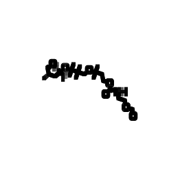 C[C@@H](C=O)CC(F)(F)OC(C)(C)C(C)(C)COC(C)(C)CCOC(=O)NCCOC=O